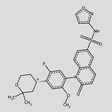 COc1cc([C@H]2CCOC(C)(C)C2)c(F)cc1-n1c(=O)ccc2cc(S(=O)(=O)Nc3ccon3)ccc21